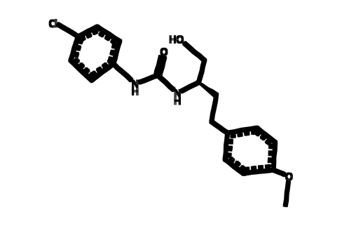 COc1ccc(CC[C@H](CO)NC(=O)Nc2ccc(Cl)cc2)cc1